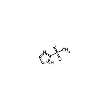 CS(=O)(=O)c1ncc[nH]1